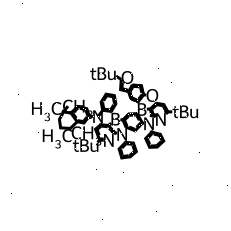 CC(C)(C)c1cc2c3c(n1)N(c1ccccc1)c1cc4c(cc1B3c1cc3cc(C(C)(C)C)oc3cc1O2)B1c2ccccc2N(c2ccc3c(c2)C(C)(C)CCC3(C)C)c2cc(C(C)(C)C)nc(c21)N4c1ccccc1